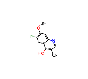 CC(C)Oc1cc2ncc(C#N)c(O)c2cc1F